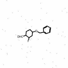 O=CC1CCC(OCc2ccccc2)C[C]1F